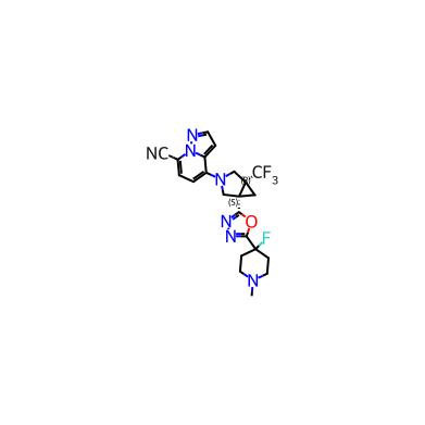 CN1CCC(F)(c2nnc([C@]34CN(c5ccc(C#N)n6nccc56)C[C@@]3(C(F)(F)F)C4)o2)CC1